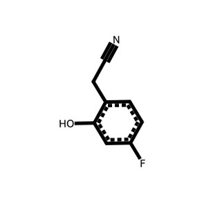 N#CCc1ccc(F)cc1O